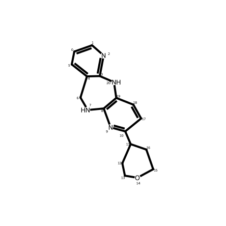 c1cnc2c(c1)CNc1nc(C3CCOCC3)ccc1N2